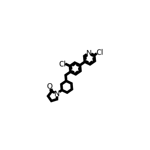 O=C1CCCN1C1CCCC(Cc2ccc(-c3ccc(Cl)nc3)cc2Cl)C1